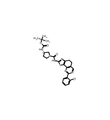 CC(C)(C)OC(=O)N[C@H]1CCN(C(=O)Nc2nc3c(s2)-c2nc(-c4ccccc4Cl)ncc2CC3)C1